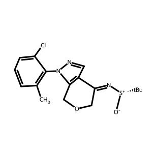 Cc1cccc(Cl)c1-n1ncc2c1COC/C2=N\[S@@+]([O-])C(C)(C)C